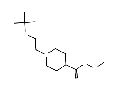 COOC(=O)C1CCN(CCOC(C)(C)C)CC1